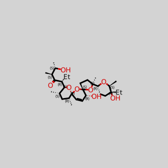 CC[C@@H](C(=O)[C@@H](C)[C@H](C)O)[C@H]1O[C@]2(C=C[C@@H](O)[C@]3(CC[C@@](C)([C@H]4CC[C@](O)(CC)[C@H](C)O4)O3)O2)[C@H](C)C[C@@H]1C